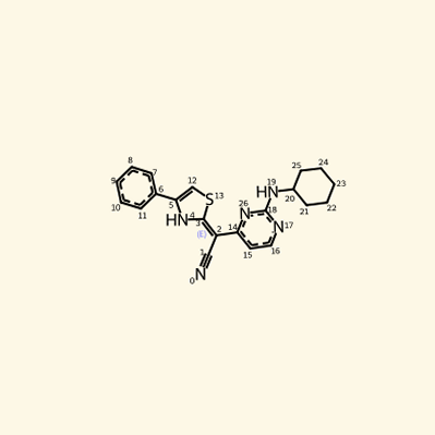 N#C/C(=C1\NC(c2ccccc2)=CS1)c1ccnc(NC2CCCCC2)n1